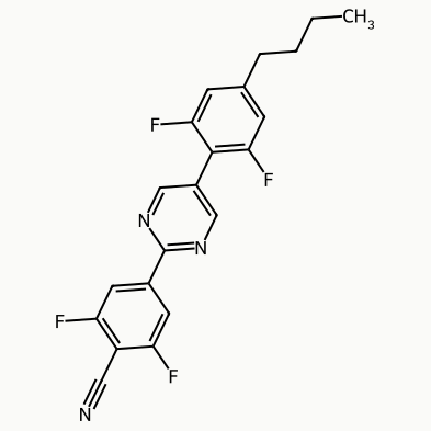 CCCCc1cc(F)c(-c2cnc(-c3cc(F)c(C#N)c(F)c3)nc2)c(F)c1